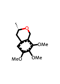 COc1cc2c(c(OC)c1OC)CO[C@@H](C)C2